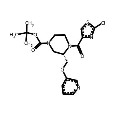 CC(C)(C)OC(=O)N1CCN(C(=O)c2csc(Cl)n2)[C@H](COc2cccnc2)C1